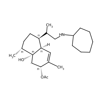 CC(=O)O[C@@H]1[CH][C@@]2(O)[C@H](C)CC[C@@H](C(C)CNC3CCCCCC3)[C@H]2C=C1C